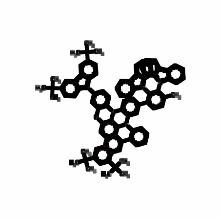 Cc1ccc(-c2ccc3c(c2)N(c2ccccc2-c2ccccc2)c2cc(-c4cc(C(C)(C)C)cc(C(C)(C)C)c4)cc4c2B3c2ccc(-n3c5ccc(C(C)(C)C)cc5c5cc(C(C)(C)C)ccc53)cc2O4)c(-n2c3ccccc3c3ccccc32)c1-n1c2ccccc2c2ccccc21